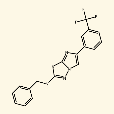 FC(F)(F)c1cccc(-c2cn3nc(NCc4ccccc4)sc3n2)c1